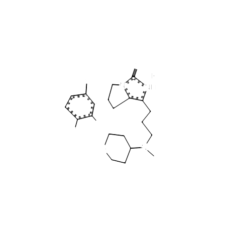 CN(CCCc1[nH]c(=S)n2c1C[C@H](c1c(F)ccc(F)c1F)C2)C1CCOCC1.Cl